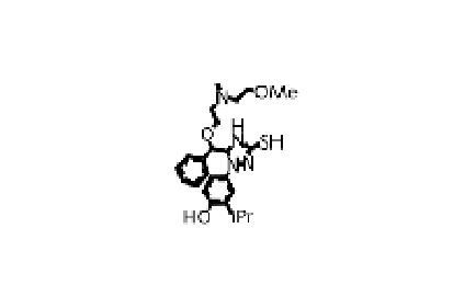 COCCN(C)CCOC(c1ccccc1)C1NC(S)=NN1c1ccc(O)c(C(C)C)c1